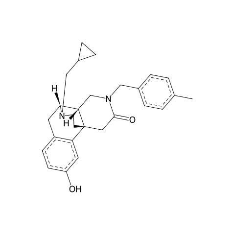 Cc1ccc(CN2C[C@H]3[C@H]4Cc5ccc(O)cc5[C@@]3(CCN4CC3CC3)CC2=O)cc1